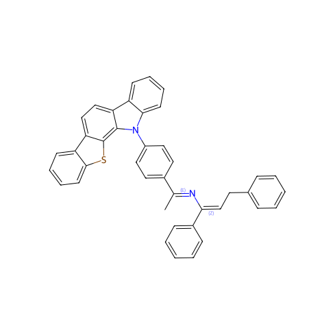 C/C(=N\C(=C/Cc1ccccc1)c1ccccc1)c1ccc(-n2c3ccccc3c3ccc4c5ccccc5sc4c32)cc1